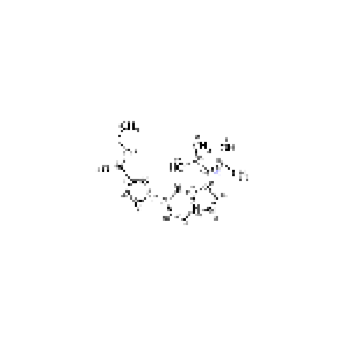 CCOC(=O)c1coc(-c2ccn3ncc(/C(=C(\C)O)C(C)O)c3c2)c1